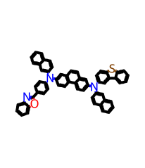 c1ccc2cc(N(c3ccc(-c4nc5ccccc5o4)cc3)c3ccc4c(ccc5cc(N(c6ccc7ccccc7c6)c6ccc7sc8ccccc8c7c6)ccc54)c3)ccc2c1